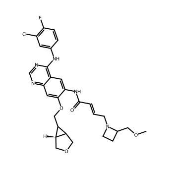 COCC1CCN1C/C=C/C(=O)Nc1cc2c(Nc3ccc(F)c(Cl)c3)ncnc2cc1OCC1C2COC[C@@H]21